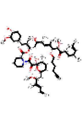 C#CCCCCO[C@H](/C(C)=C/[C@@H](C)[C@H](O)C[C@H](OC(=O)[C@@H]1CCCCN1C(=O)C(=O)[C@]1(O)O[C@H](C[C@H](OC)/C(C)=C/C=C)CC[C@H]1C)[C@H](C)C[C@@H]1CC[C@@H](O)[C@H](OC)C1)[C@@H](OC)C(=O)[C@H](C)C[C@H](C)/C=C/C